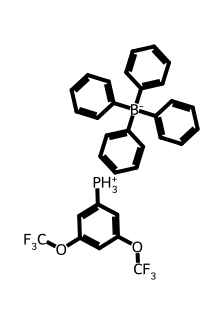 FC(F)(F)Oc1cc([PH3+])cc(OC(F)(F)F)c1.c1ccc([B-](c2ccccc2)(c2ccccc2)c2ccccc2)cc1